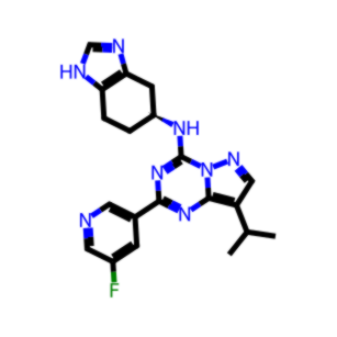 CC(C)c1cnn2c(N[C@H]3CCc4[nH]cnc4C3)nc(-c3cncc(F)c3)nc12